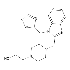 OCCN1CCC(Cc2nc3ccccc3n2Cc2cscn2)CC1